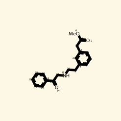 COC(=O)Cc1cccc(CCNCC(=O)c2ccccc2)c1